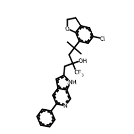 CC(C)(CC(O)(Cc1cc2cc(-c3ccccc3)ncc2[nH]1)C(F)(F)F)c1cc(Cl)cc2c1OCC2